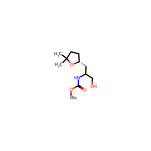 CC(C)(C)OC(=O)NC(CO)C[C@H]1CCC(C)(C)O1